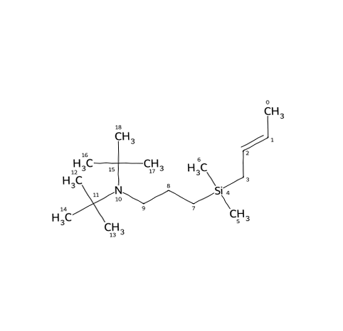 C/C=C/C[Si](C)(C)CCCN(C(C)(C)C)C(C)(C)C